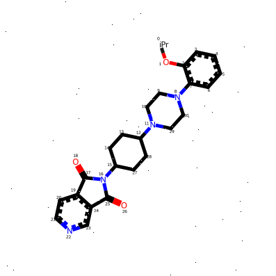 CC(C)Oc1ccccc1N1CCN(C2CCC(N3C(=O)c4ccncc4C3=O)CC2)CC1